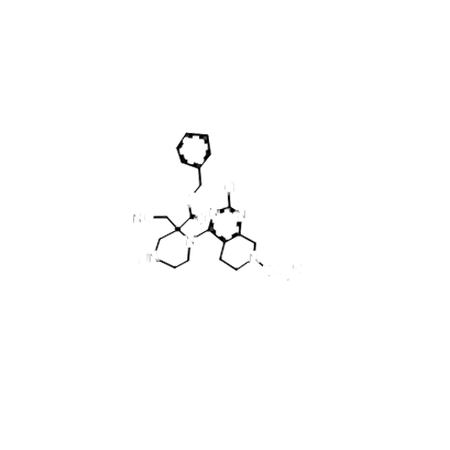 N#CCC1(C(=O)OCc2ccccc2)CNCCN1c1nc(Cl)nc2c1CCN(C(=O)O)C2